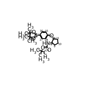 CC(C)(C)OC(=O)N[C@H]1CCC[C@H]1Oc1ccc(B2OC(C)(C)C(C)(C)O2)cc1